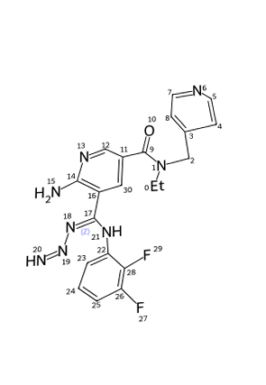 CCN(Cc1ccncc1)C(=O)c1cnc(N)c(/C(=N/N=N)Nc2cccc(F)c2F)c1